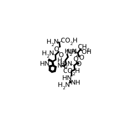 C[C@@H](O)[C@H](N)C(=O)OC(=O)[C@@H](N)CCCNC(=N)N.NCCCC[C@H](N)C(=O)O.N[C@@H](COC(=O)[C@@H](N)Cc1c[nH]c2ccccc12)C(=O)O